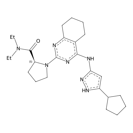 CCN(CC)C(=O)[C@@H]1CCCN1c1nc2c(c(Nc3cc(C4CCCC4)[nH]n3)n1)CCCC2